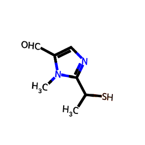 CC(S)c1ncc(C=O)n1C